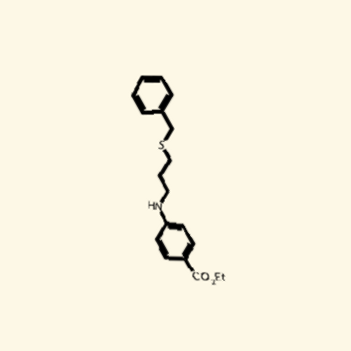 CCOC(=O)c1ccc(NCCCSCc2ccccc2)cc1